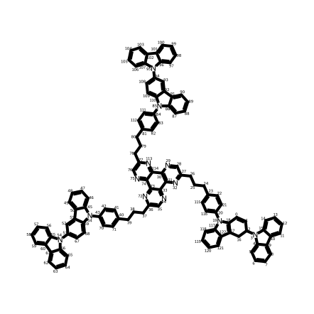 C1=CC(n2c3ccccc3c3ccccc32)Cc2c1n(-c1ccc(CCCc3cnc4c(n3)c3ncc(CCCc5ccc(-n6c7ccccc7c7cc(-n8c9ccccc9c9ccccc98)ccc76)cc5)nc3c3ncc(CCCc5ccc(-n6c7ccccc7c7cc(-n8c9ccccc9c9ccccc98)ccc76)cc5)nc43)cc1)c1ccccc21